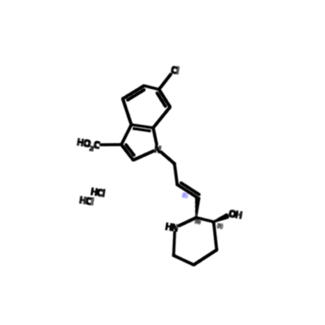 Cl.Cl.O=C(O)c1cn(C/C=C/[C@@H]2NCCC[C@@H]2O)c2cc(Cl)ccc12